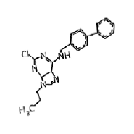 CCCN1C=NC2C(NCc3ccc(-c4ccccc4)cc3)=NC(Cl)=NC21